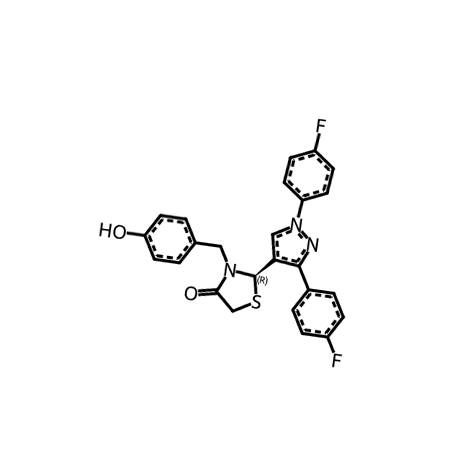 O=C1CS[C@H](c2cn(-c3ccc(F)cc3)nc2-c2ccc(F)cc2)N1Cc1ccc(O)cc1